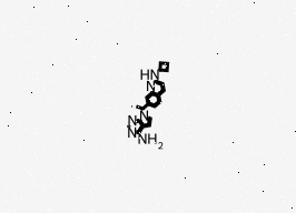 [CH2]C(c1ccc2ccc(NC3CCC3)nc2c1)n1ccc2c(N)ncnc21